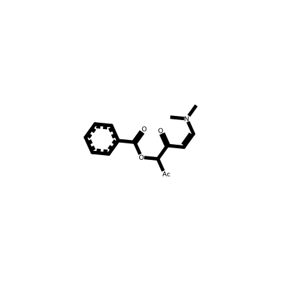 CC(=O)C(OC(=O)c1ccccc1)C(=O)/C=C\N(C)C